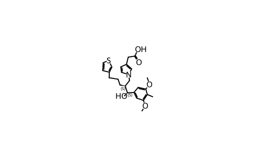 COc1cc([C@@H](O)[C@@H](CCCc2ccsc2)Cn2ccc(CC(=O)O)c2)cc(OC)c1C